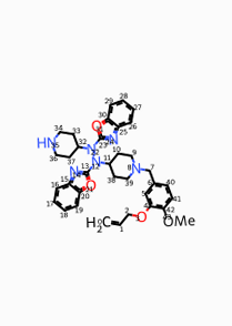 C=CCOc1cc(CN2CCC(N(c3nc4ccccc4o3)N(c3nc4ccccc4o3)C3CCNCC3)CC2)ccc1OC